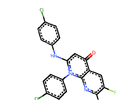 O=c1cc(Nc2ccc(Cl)cc2)n(-c2ccc(Cl)cc2)c2nc(Cl)c(F)cc12